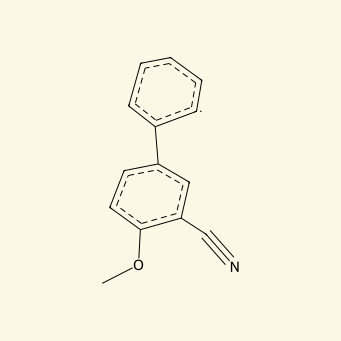 COc1ccc(-c2[c]cccc2)cc1C#N